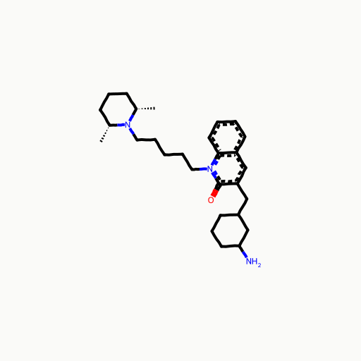 C[C@@H]1CCC[C@H](C)N1CCCCCn1c(=O)c(CC2CCCC(N)C2)cc2ccccc21